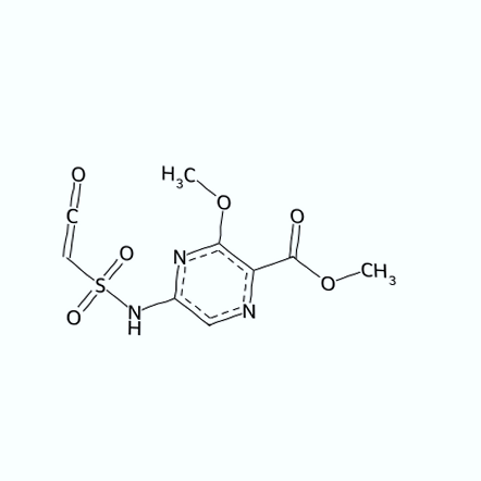 COC(=O)c1ncc(NS(=O)(=O)C=C=O)nc1OC